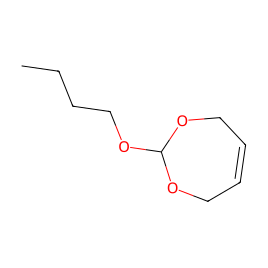 CCCCOC1OCC=CCO1